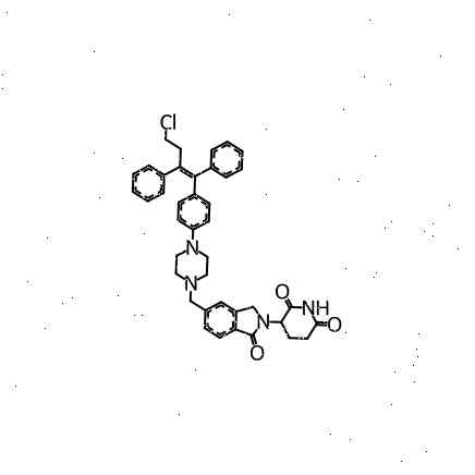 O=C1CCC(N2Cc3cc(CN4CCN(c5ccc(C(=C(CCCl)c6ccccc6)c6ccccc6)cc5)CC4)ccc3C2=O)C(=O)N1